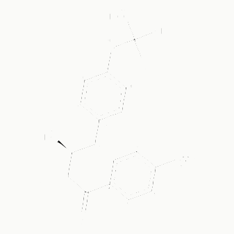 CC[C@@H](C(=O)c1ccc(SC)cc1)[C@@H](C)Cc1ccc(OC(C)(C)C(=O)O)cc1